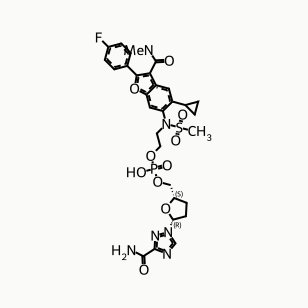 CNC(=O)c1c(-c2ccc(F)cc2)oc2cc(N(CCOP(=O)(O)OC[C@@H]3CC[C@H](n4cnc(C(N)=O)n4)O3)S(C)(=O)=O)c(C3CC3)cc12